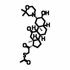 CC(=O)SCC(=O)[C@H]1CC[C@H]2[C@@H]3CC[C@H]4C[C@H](O)[C@@H](N5CCOC(C)(C)C5)C[C@]4(C)[C@H]3C(=O)C[C@]12C